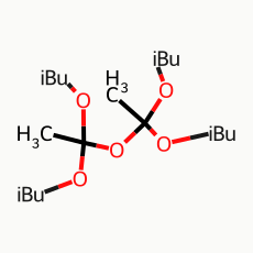 CCC(C)OC(C)(OC(C)CC)OC(C)(OC(C)CC)OC(C)CC